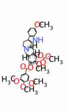 COC(=O)O[C@H]1[C@H]2C[C@@H]3c4[nH]c5cc(OC)ccc5c4CCN3C[C@H]2C[C@@H](OC(=O)c2cc(OC)c(OC)c(OC)c2)[C@H]1OC